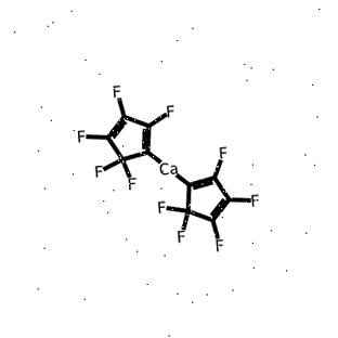 FC1=C(F)C(F)(F)[C]([Ca][C]2=C(F)C(F)=C(F)C2(F)F)=C1F